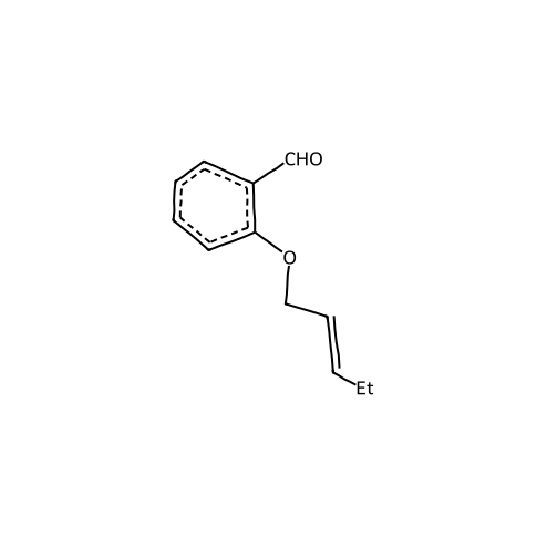 CCC=CCOc1ccccc1C=O